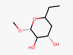 CCC1C[C@H](O)C(O)[C@H](OC)O1